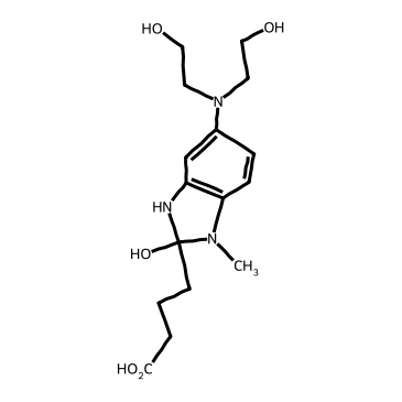 CN1c2ccc(N(CCO)CCO)cc2NC1(O)CCCC(=O)O